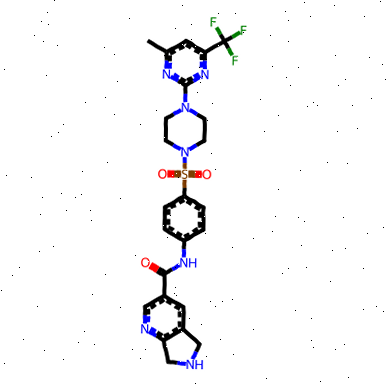 Cc1cc(C(F)(F)F)nc(N2CCN(S(=O)(=O)c3ccc(NC(=O)c4cnc5c(c4)CNC5)cc3)CC2)n1